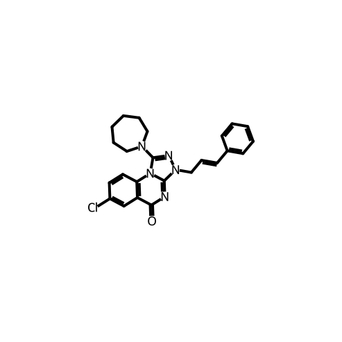 O=c1nc2n(CC=Cc3ccccc3)nc(N3CCCCCC3)n2c2ccc(Cl)cc12